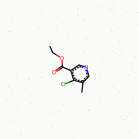 CCOC(=O)c1cncc(C)c1Cl